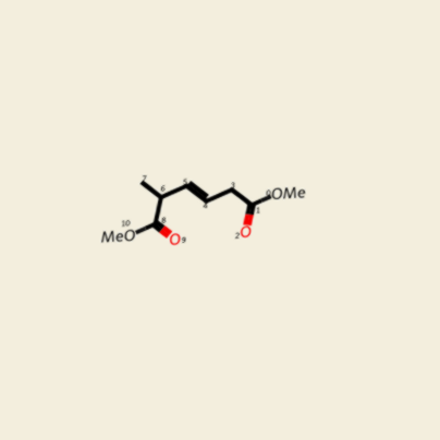 COC(=O)CC=CC(C)C(=O)OC